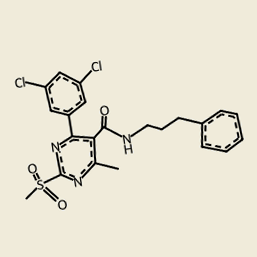 Cc1nc(S(C)(=O)=O)nc(-c2cc(Cl)cc(Cl)c2)c1C(=O)NCCCc1ccccc1